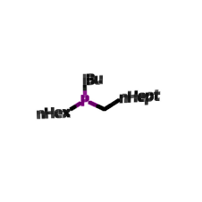 CCCCCCCCP(CCCCCC)C(C)CC